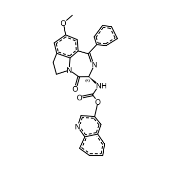 COc1cc2c3c(c1)C(c1ccccc1)=N[C@@H](NC(=O)Oc1cnc4ccccc4c1)C(=O)N3CC2